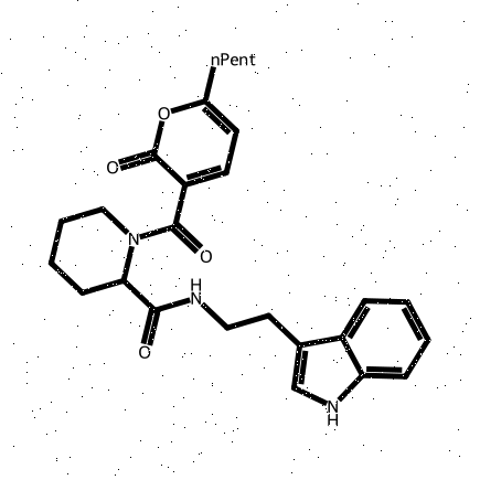 CCCCCc1ccc(C(=O)N2CCCCC2C(=O)NCCc2c[nH]c3ccccc23)c(=O)o1